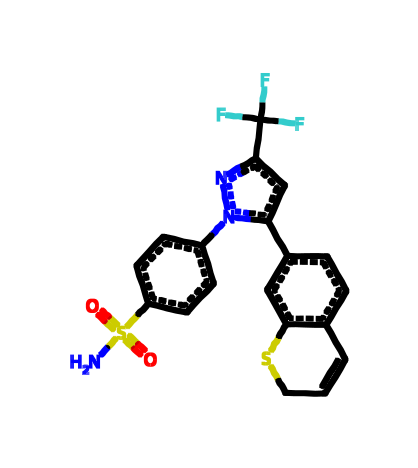 NS(=O)(=O)c1ccc(-n2nc(C(F)(F)F)cc2-c2ccc3c(c2)SCC=C3)cc1